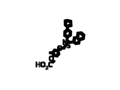 Cc1cc(OCc2nc(-c3ccc(-c4ccccc4)cc3)c(-c3ccc4ccccc4c3)s2)ccc1OCC(=O)O